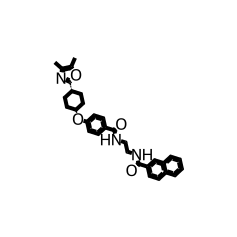 Cc1nc([C@H]2CC[C@@H](Oc3ccc(C(=O)NCCNC(=O)c4ccc5ccccc5c4)cc3)CC2)oc1C